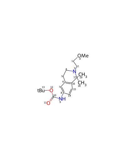 COCCN1CCc2cc(NC(=O)OC(C)(C)C)ccc2C1(C)C